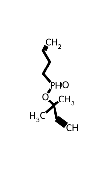 C#CC(C)(C)O[PH](=O)CCC=C